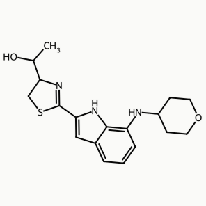 CC(O)C1CSC(c2cc3cccc(NC4CCOCC4)c3[nH]2)=N1